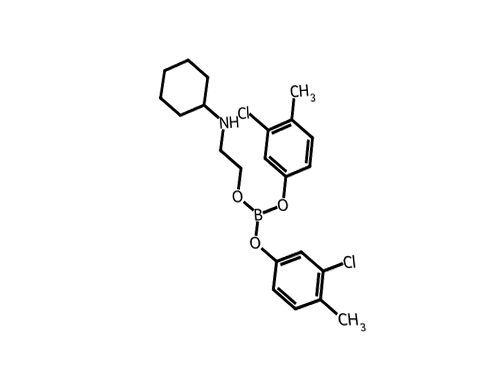 Cc1ccc(OB(OCCNC2CCCCC2)Oc2ccc(C)c(Cl)c2)cc1Cl